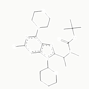 CC(c1nc2c(N3CCOCC3)nc(Cl)nc2n1C1CCCCO1)N(C)C(=O)OC(C)(C)C